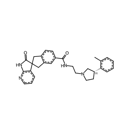 Cc1ccccc1[C@@H]1CCN(CCNC(=O)c2ccc3c(c2)CC2(C3)C(=O)Nc3ncccc32)C1